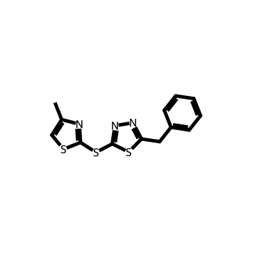 Cc1csc(Sc2nnc(Cc3ccccc3)s2)n1